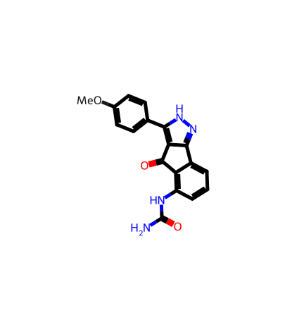 COc1ccc(-c2[nH]nc3c2C(=O)c2c(NC(N)=O)cccc2-3)cc1